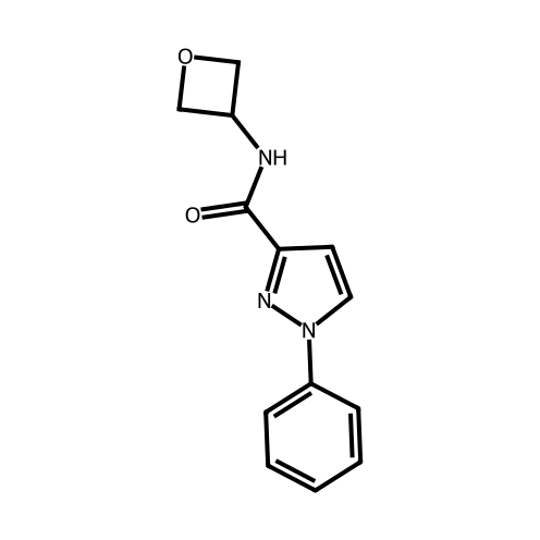 O=C(NC1COC1)c1ccn(-c2ccccc2)n1